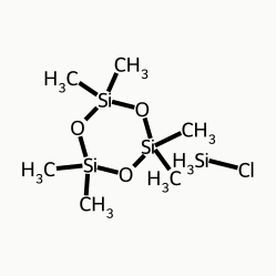 C[Si]1(C)O[Si](C)(C)O[Si](C)(C)O1.[SiH3]Cl